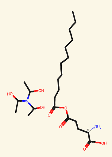 CC(O)N(C(C)O)C(C)O.CCCCCCCCCCCC(=O)OC(=O)CC[C@H](N)C(=O)O